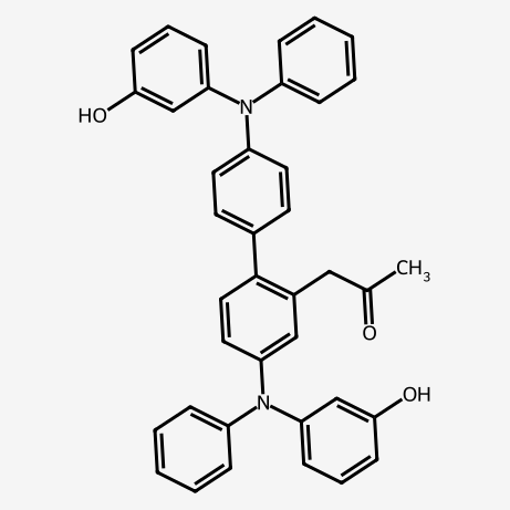 CC(=O)Cc1cc(N(c2ccccc2)c2cccc(O)c2)ccc1-c1ccc(N(c2ccccc2)c2cccc(O)c2)cc1